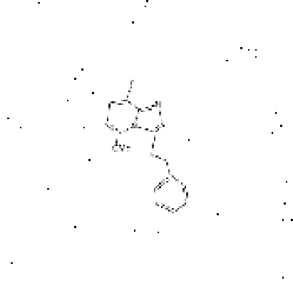 COc1ncc(F)c2nnc(SCc3ccccc3)n12